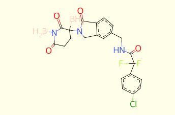 BN1C(=O)CCC(B)(N2Cc3cc(CNC(=O)C(F)(F)c4ccc(Cl)cc4)ccc3C2=O)C1=O